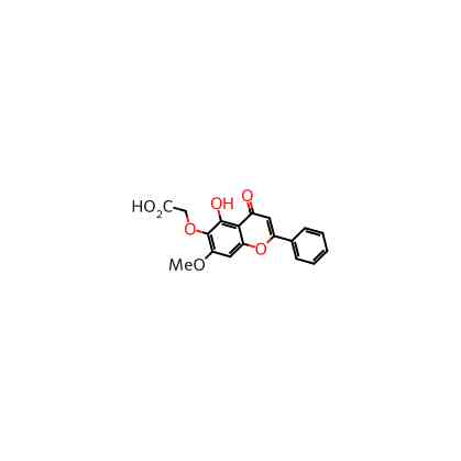 COc1cc2oc(-c3ccccc3)cc(=O)c2c(O)c1OCC(=O)O